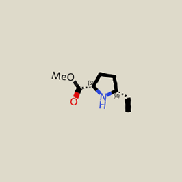 C=C[C@H]1CC[C@@H](C(=O)OC)N1